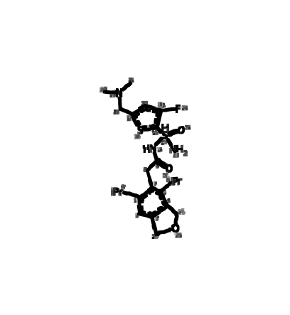 CC(C)c1cc2c(c(C(C)C)c1CC(=O)N[SH](N)(=O)c1sc(CN(C)C)cc1F)COC2